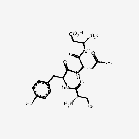 NC(=O)C[C@H](NC(=O)[C@H](Cc1ccc(O)cc1)NC(=O)[C@@H](N)CO)C(=O)N[C@@H](CC(=O)O)C(=O)O